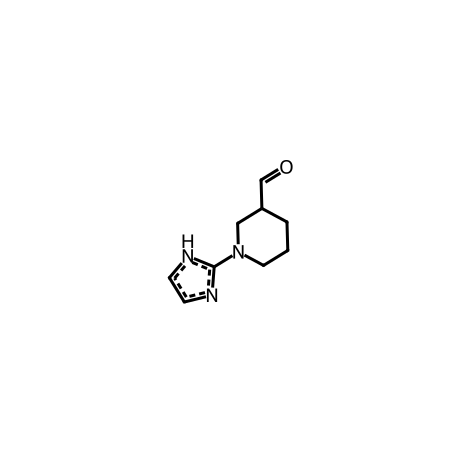 O=CC1CCCN(c2ncc[nH]2)C1